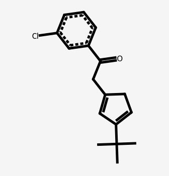 CC(C)(C)C1=CCC(CC(=O)c2cccc(Cl)c2)=C1